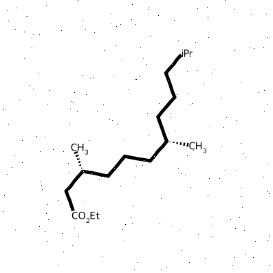 CCOC(=O)C[C@H](C)CCC[C@@H](C)CCCC(C)C